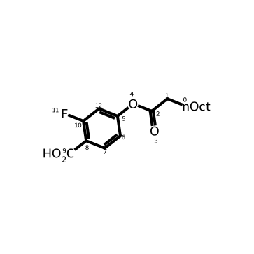 CCCCCCCCCC(=O)Oc1ccc(C(=O)O)c(F)c1